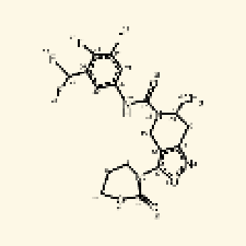 C[C@H]1Cc2noc(N3CCCOC3=O)c2CN1C(=O)Nc1cc(F)c(F)c(C(F)F)c1